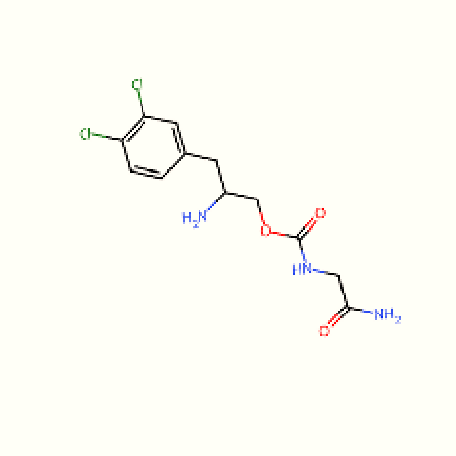 NC(=O)CNC(=O)OCC(N)Cc1ccc(Cl)c(Cl)c1